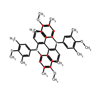 COc1c(C)cc(P(c2cc(C)c(OC)c(C)c2)c2ccc3c(c2-c2c(P(c4cc(C)c(OC)c(C)c4)c4cc(C)c(OC)c(C)c4)ccc4c2CCCC4)CCCC3)cc1C